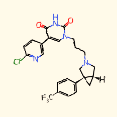 O=c1[nH]c(=O)n(CCCN2C[C@@H]3C[C@]3(c3ccc(C(F)(F)F)cc3)C2)cc1-c1ccc(Cl)nc1